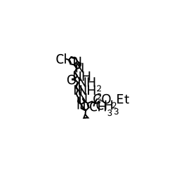 CCOC(=O)C(C)(C)Cc1cc(C2CC2)cn2cc(CN(N)/C=C(\N)C(=O)NCc3ncn4ccc(Cl)cc34)nc12